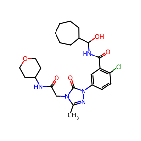 Cc1nn(-c2ccc(Cl)c(C(=O)NC(O)C3CCCCCC3)c2)c(=O)n1CC(=O)NC1CCOCC1